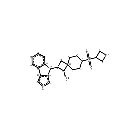 O=S(=O)(C1COC1)N1CCC2(CC1)C[C@H]([C@@H]1c3ccccc3-c3cncn31)[C@@H]2O